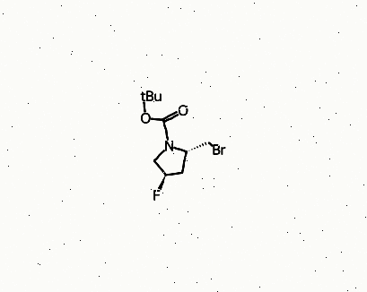 CC(C)(C)OC(=O)N1C[C@H](F)C[C@H]1CBr